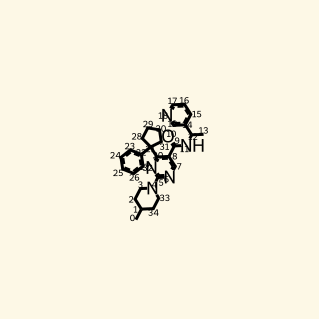 CC1CCN(c2ncc(C(=O)NC(C)c3cccnc3)c(C3(c4ccccc4)CCCC3)n2)CC1